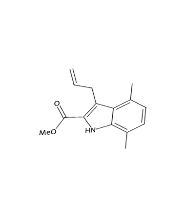 C=CCc1c(C(=O)OC)[nH]c2c(C)ccc(C)c12